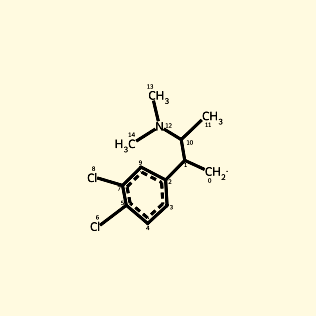 [CH2]C(c1ccc(Cl)c(Cl)c1)C(C)N(C)C